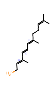 CC(C)=CCC/C(C)=C/C=C/C(C)=C/CP